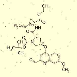 C=C[C@H]1C[C@@]1(NC(=O)[C@@H]1C[C@@H](Oc2cc(C=O)nc3cc(OC)ccc23)CN1C(=O)OC(C)(C)C)C(=O)OCC